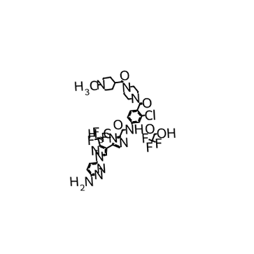 CN1CCC(C(=O)N2CCN(C(=O)c3ccc(NC(=O)c4ncc(-c5cn(-c6ccc(N)nn6)nc5C(F)(F)F)n4C)cc3Cl)CC2)CC1.O=C(O)C(F)(F)F